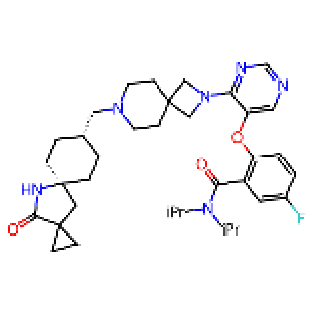 CC(C)N(C(=O)c1cc(F)ccc1Oc1cncnc1N1CC2(CCN(C[C@H]3CC[C@]4(CC3)CC3(CC3)C(=O)N4)CC2)C1)C(C)C